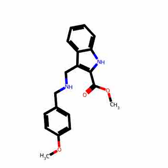 COC(=O)c1[nH]c2ccccc2c1CNCc1ccc(OC)cc1